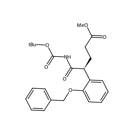 COC(=O)CC[C@H](C(=O)NC(=O)OC(C)(C)C)c1ccccc1OCc1ccccc1